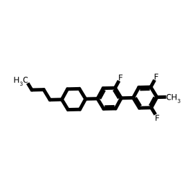 CCCCC1CCC(c2ccc(-c3cc(F)c(C)c(F)c3)c(F)c2)CC1